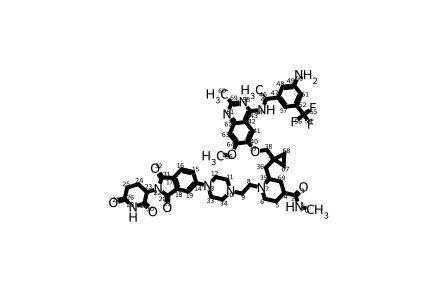 CNC(=O)C1CCN(CCN2CCN(c3ccc4c(c3)C(=O)N(C3CCC(=O)NC3=O)C4=O)CC2)C(CC2(COc3cc4c(N[C@H](C)c5cc(N)cc(C(F)(F)F)c5)nc(C)nc4cc3OC)CC2)C1